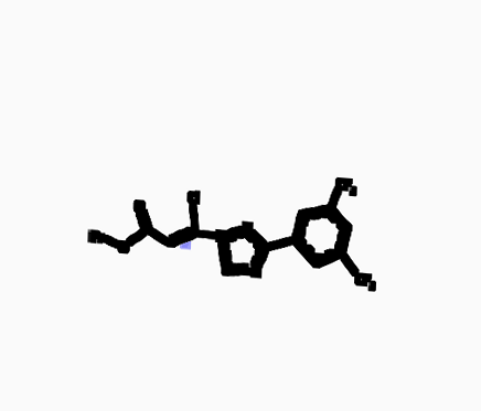 CC(C)OC(=O)/C=C(\Cl)n1cnc(-c2cc(C(F)(F)F)cc(C(F)(F)F)c2)n1